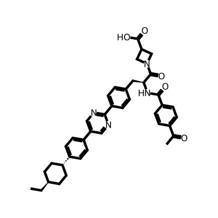 CC[C@H]1CC[C@H](c2ccc(-c3cnc(-c4ccc(C[C@H](NC(=O)c5ccc(C(C)=O)cc5)C(=O)N5CC(C(=O)O)C5)cc4)nc3)cc2)CC1